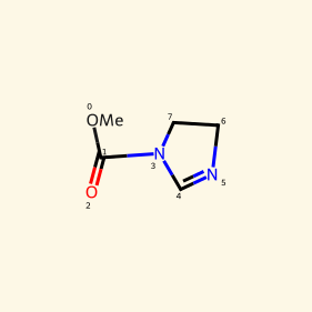 COC(=O)N1C=NCC1